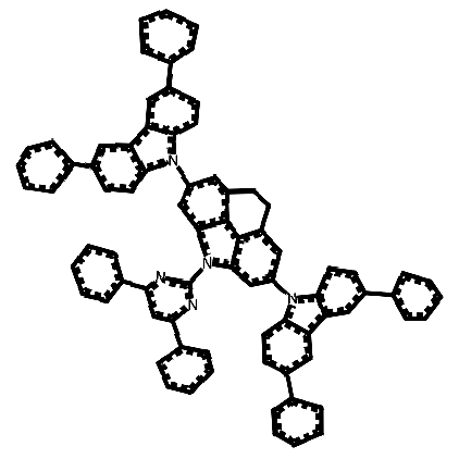 c1ccc(-c2ccc3c(c2)c2cc(-c4ccccc4)ccc2n3-c2cc3c4c5c(cc(-n6c7ccc(-c8ccccc8)cc7c7cc(-c8ccccc8)ccc76)cc5n(-c5nc(-c6ccccc6)cc(-c6ccccc6)n5)c4c2)CC3)cc1